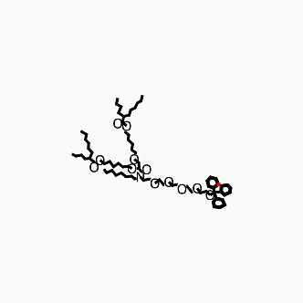 CCCCCCCCN(CCOCCOCCOCCOCCOC(c1ccccc1)(c1ccccc1)c1ccccc1)C(=O)C(COCCCCCCOC(=O)C(CCCC)CCCCCC)OCCCCCCOC(=O)C(CCCC)CCCCCC